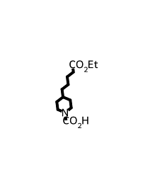 CCOC(=O)CCCCC1CCN(C(=O)O)CC1